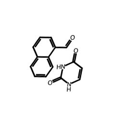 O=Cc1cccc2ccccc12.O=c1cc[nH]c(=O)[nH]1